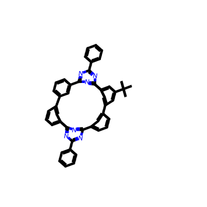 CC(C)(C)c1cc2cc(c1)c1nc(-c3ccccc3)nc(n1)c1cccc(c1)c1cccc(c1)c1nc(-c3ccccc3)nc(n1)c1cccc2c1